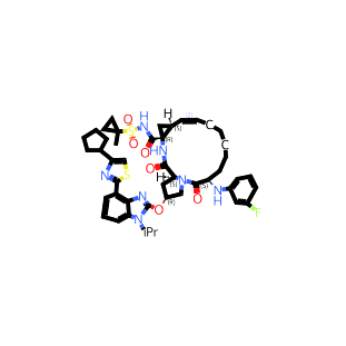 CC(C)n1c(O[C@@H]2C[C@H]3C(=O)N[C@]4(C(=O)NS(=O)(=O)C5(C)CC5)C[C@H]4/C=C\CCCCC[C@H](Nc4cccc(F)c4)C(=O)N3C2)nc2c(-c3nc(C4CCCC4)cs3)cccc21